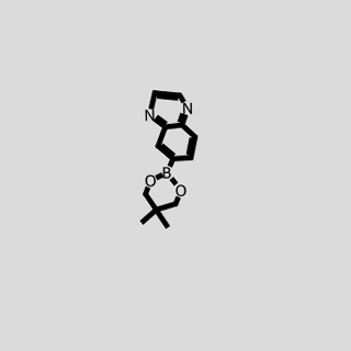 CC1(C)COB(c2ccc3nccnc3c2)OC1